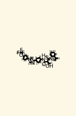 CC(O)=C(C(=O)Nc1ccc(-c2ncn(-c3ccc(OC(F)(F)F)cc3)n2)cc1)C(=S)Nc1ccccc1C(C)C